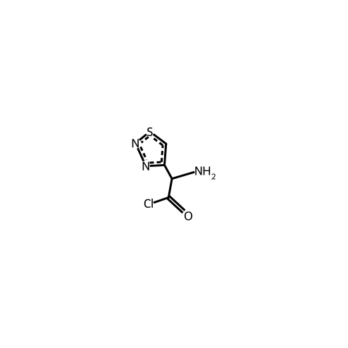 NC(C(=O)Cl)c1csnn1